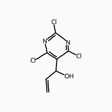 C=CC(O)c1c(Cl)nc(Cl)nc1Cl